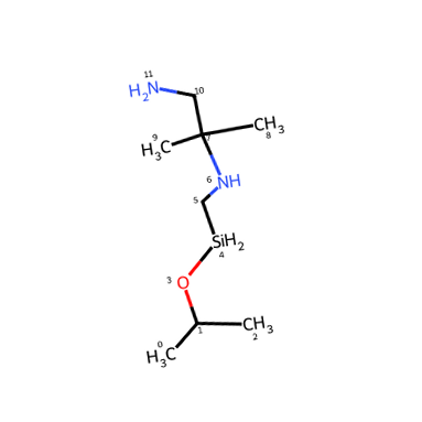 CC(C)O[SiH2]CNC(C)(C)CN